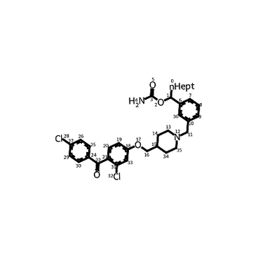 CCCCCCCC(OC(N)=O)c1cccc(CN2CCC(COc3ccc(C(=O)c4ccc(Cl)cc4)c(Cl)c3)CC2)c1